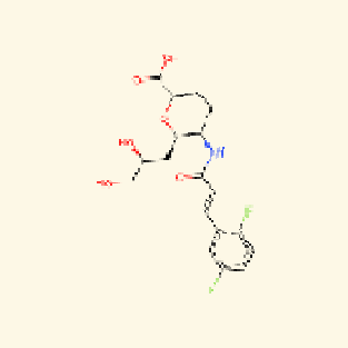 O=C(C=Cc1cc(F)ccc1F)N[C@@H]1CC[C@@H](C(=O)O)O[C@@H]1C[C@H](O)CO